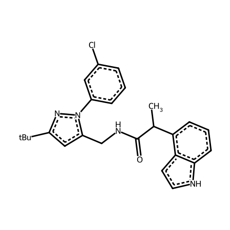 CC(C(=O)NCc1cc(C(C)(C)C)nn1-c1cccc(Cl)c1)c1cccc2[nH]ccc12